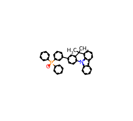 CC1(C)c2cc(-c3cccc(P(=O)(c4ccccc4)c4ccccc4)c3)ccc2-n2c3ccccc3c3cccc1c32